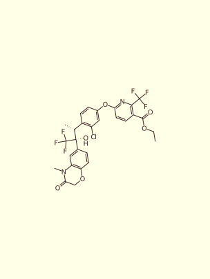 CCOC(=O)c1ccc(Oc2ccc([C@@H](C)[C@@](O)(c3ccc4c(c3)N(C)C(=O)CO4)C(F)(F)F)c(Cl)c2)nc1C(F)(F)F